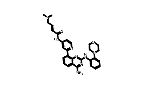 CN(C)C/C=C/C(=O)Nc1ccnc(-c2cccc3c(N)nc(Nc4ccccc4N4CCOCC4)nc23)c1